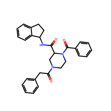 O=C(NC1CCc2ccccc21)C1CN(C(=O)Cc2ccccc2)CCN1C(=O)c1ccccc1